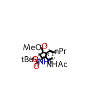 CCCC=CC1C(C(=O)OC)CC(NC(=O)OC(C)(C)C)C1C(C)NC(C)=O